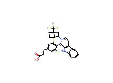 C[C@@H]1Cc2c([nH]c3ccccc23)[C@@H](c2c(F)cc(/C=C/C(=O)O)cc2F)N1C1CC2(C(F)(F)F)CCC12